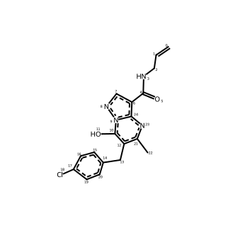 C=CCNC(=O)c1cnn2c(O)c(Cc3ccc(Cl)cc3)c(C)nc12